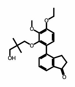 CCOc1ccc(-c2cccc3c2CCC3=O)c(OCC(C)(C)CO)c1OC